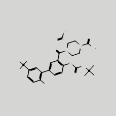 CC(C)(C)OC(=O)Nc1ccc(-c2cc(C(F)(F)F)ccc2F)cc1C(=O)N1CCN(C(=O)O)C[C@H]1C(=O)O